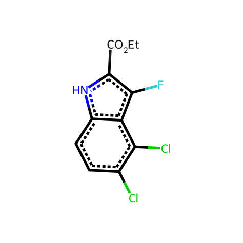 CCOC(=O)c1[nH]c2ccc(Cl)c(Cl)c2c1F